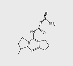 CC1CCc2c1cc1c(c2NC(=O)/N=[SH](\N)=O)CCC1